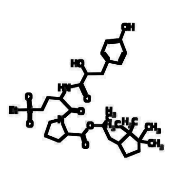 CCS(=O)(=O)CCC(NC(=O)C(O)Cc1ccc(O)cc1)C(=O)N1CCCC1C(=O)OC(C)CC1CCC(C)(C)C1(C)C